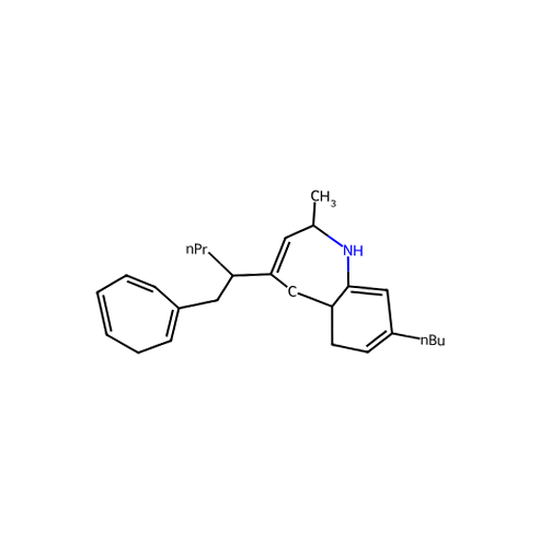 CCCCC1=CCC2CC(C(CCC)CC3=CCC=CC=C3)=CC(C)NC2=C1